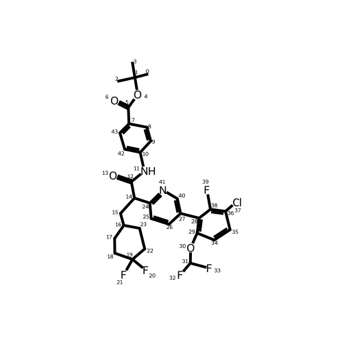 CC(C)(C)OC(=O)c1ccc(NC(=O)C(CC2CCC(F)(F)CC2)c2ccc(-c3c(OC(F)F)ccc(Cl)c3F)cn2)cc1